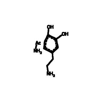 CC(N)=O.NCCc1ccc(O)c(O)c1